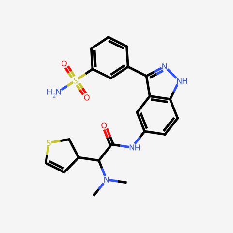 CN(C)C(C(=O)Nc1ccc2[nH]nc(-c3cccc(S(N)(=O)=O)c3)c2c1)C1C=CSC1